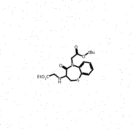 CCOC(=O)CNC1CSc2ccccc2N(CC(=O)OC(C)(C)C)C1=O